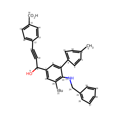 Cc1ccc(-c2cc(C(O)C#Cc3ccc(C(=O)O)cc3)cc(C(C)(C)C)c2NCc2ccccc2)cc1